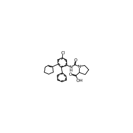 O=C(O)C1CCCN1C(=O)Nc1cc(Cl)cc(C2=CCCCC2)c1-c1ccccc1